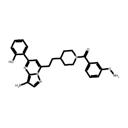 Bc1cnn2c(CCC3CCN(C(=O)c4cccc(ON)c4)CC3)cc(-c3ccccc3O)nc12